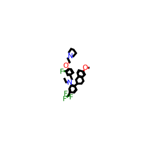 CCN(Cc1ccc(OCCN2CCCCC2)c(F)c1)c1cc(C(F)(F)F)ccc1C1CCc2cc(OC)ccc2C1